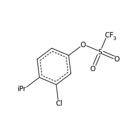 CC(C)c1ccc(OS(=O)(=O)C(F)(F)F)cc1Cl